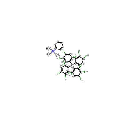 C[N+](C)(C)c1ccccc1.Fc1cc(F)c([B-](c2c(F)cc(F)c(F)c2F)(c2c(F)cc(F)c(F)c2F)c2c(F)cc(F)c(F)c2F)c(F)c1F